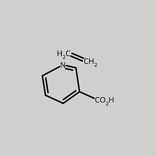 C=C.O=C(O)c1cccnc1